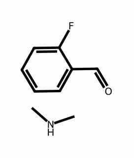 CNC.O=Cc1ccccc1F